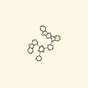 c1ccc(-c2nc(-c3cccc(-n4c5ccccc5c5cc6c(cc54)oc4ccccc46)c3)nc(-c3cccc4oc5ccccc5c34)n2)cc1